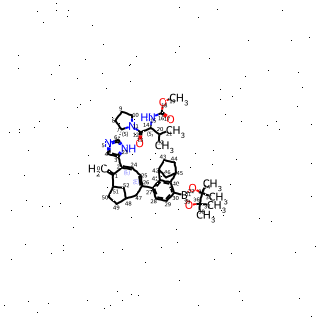 C=C1/C(c2cnc([C@@H]3CCCN3C(=O)[C@@H](NC(=O)OC)C(C)C)[nH]2)=C\C=C(\c2ccc(B3OC(C)(C)C(C)(C)O3)c3c2C2CCC3C2)CC2CCC1C2